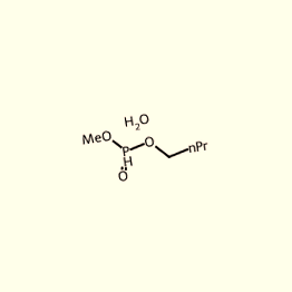 CCCCO[PH](=O)OC.O